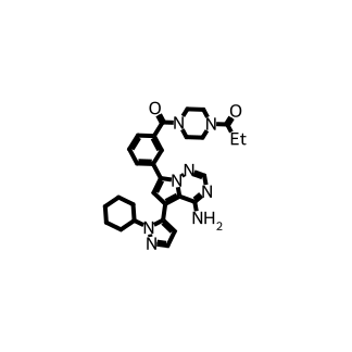 CCC(=O)N1CCN(C(=O)c2cccc(-c3cc(-c4ccnn4C4CCCCC4)c4c(N)ncnn34)c2)CC1